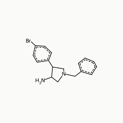 NC1CN(Cc2ccccc2)CC1c1ccc(Br)cc1